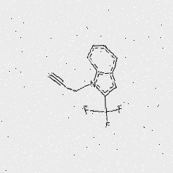 C#CCn1c(C(F)(F)F)cc2ccccc21